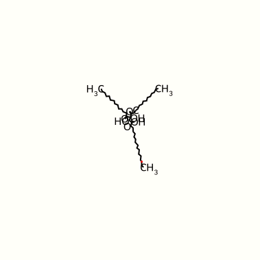 CCCCCCCCCCCCCCCC(=O)C(O)C(O)C(O)(C(=O)CCCCCCCCCCCCC)C(=O)CCCCCCCCCCCCC